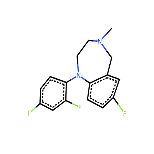 CN1CCN(c2ccc(F)cc2F)c2ccc(F)cc2C1